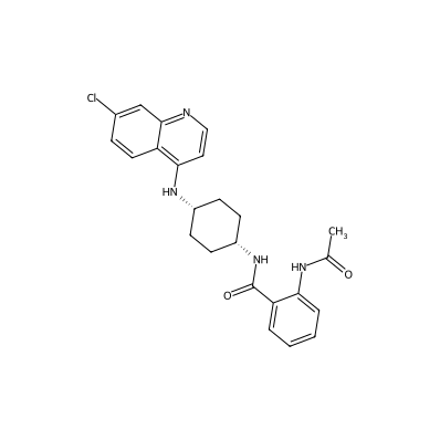 CC(=O)Nc1ccccc1C(=O)N[C@H]1CC[C@@H](Nc2ccnc3cc(Cl)ccc23)CC1